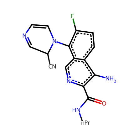 CCCNC(=O)c1ncc2c(N3C=CN=CC3C#N)c(F)ccc2c1N